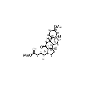 COC(=O)CC[C@@H](C)[C@H]1CC[C@H]2C3CC[C@@H]4C[C@H](OC(C)=O)CC[C@]4(C)[C@H]3CC(=O)[C@]12C